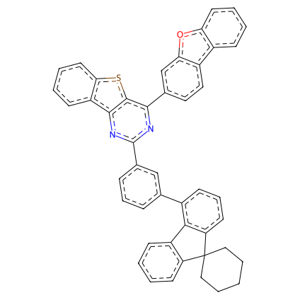 c1cc(-c2nc(-c3ccc4c(c3)oc3ccccc34)c3sc4ccccc4c3n2)cc(-c2cccc3c2-c2ccccc2C32CCCCC2)c1